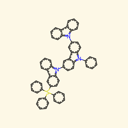 c1ccc(-n2c3ccc(-n4c5ccccc5c5ccccc54)cc3c3cc(-n4c5ccccc5c5cc(S(c6ccccc6)(c6ccccc6)c6ccccc6)ccc54)ccc32)cc1